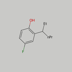 CCCC(CC)c1cc(F)ccc1O